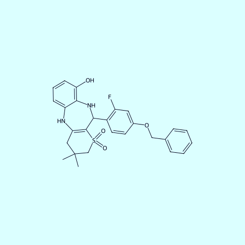 CC1(C)CC2=C(C(c3ccc(OCc4ccccc4)cc3F)Nc3c(O)cccc3N2)S(=O)(=O)C1